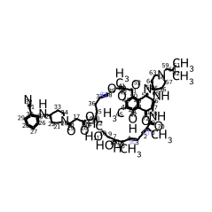 C/C1=C/C=C/C(C)[C@H](O)CC(O)C[C@H](OC(=O)CC(=O)N2CCC(Nc3ccccc3C#N)CC2)CC/C=C/O[C@@]2(C)Oc3c(C)c(O)c4c(c3C2=O)C2=NC3(CCN(CC(C)C)CC3)NC2=C(NC1=O)C4=O